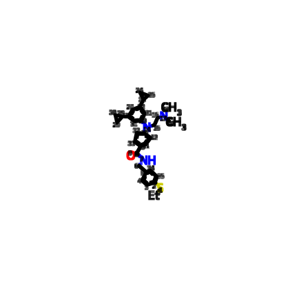 CCSc1ccc(CNC(=O)c2ccc(N(CCN(C)C)c3cc(C4CC4)cc(C4CC4)c3)cc2)cc1